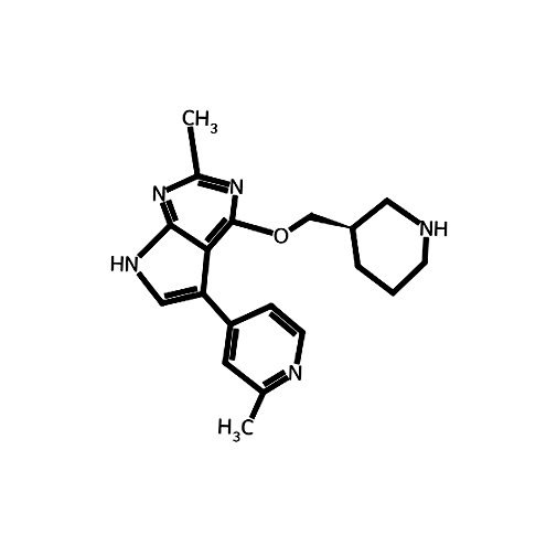 Cc1cc(-c2c[nH]c3nc(C)nc(OC[C@@H]4CCCNC4)c23)ccn1